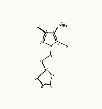 CSc1c(C)nn(CCN2CCCC2)c1C